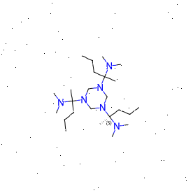 CCCC(C)(N(C)C)N1CN(C(C)(CCC)N(C)C)CN([C@@](C)(CCC)N(C)C)C1